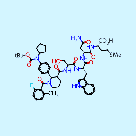 CSCC[C@H](NC(=O)[C@H](CC(N)=O)NC(=O)[C@H](Cc1c[nH]c2ccccc12)NC(=O)[C@H](CO)NC(=O)[C@H]1CCCN(C(=O)c2c(C)cccc2F)[C@H]1c1ccc(N(C(=O)OC(C)(C)C)C2CCCC2)cc1)C(=O)O